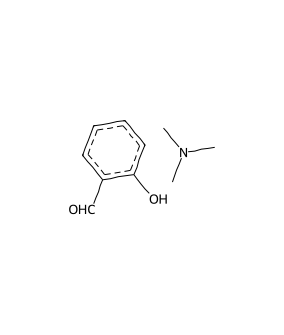 CN(C)C.O=Cc1ccccc1O